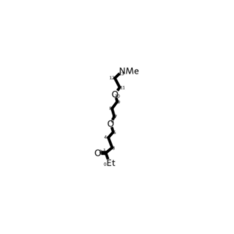 CCC(=O)CCCOCCCOCCNC